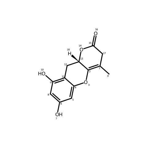 CC1=C2Oc3cc(O)cc(O)c3C[C@@H]2OC(=O)C1